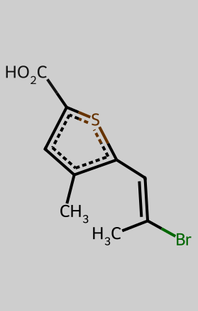 C/C(Br)=C\c1sc(C(=O)O)cc1C